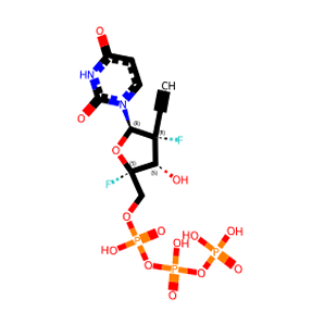 C#C[C@]1(F)[C@H](n2ccc(=O)[nH]c2=O)O[C@](F)(COP(=O)(O)OP(=O)(O)OP(=O)(O)O)[C@H]1O